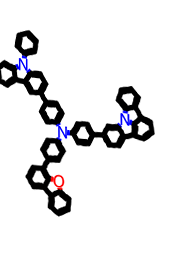 c1ccc(-n2c3ccccc3c3cc(-c4ccc(N(c5ccc(-c6ccc7c8cccc9c%10ccccc%10n(c7c6)c98)cc5)c5ccc(-c6cccc7c6oc6ccccc67)cc5)cc4)ccc32)cc1